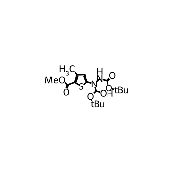 COC(=O)c1sc(N(NC(=O)OC(C)(C)C)C(O)OC(C)(C)C)cc1C